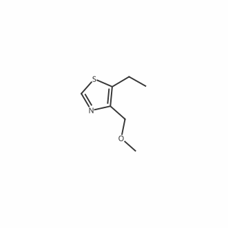 CCc1scnc1COC